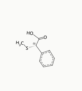 CS[C@H](C(=O)O)c1ccccc1